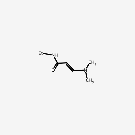 CCNC(=O)C=CN(C)C